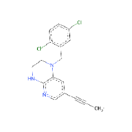 [CH2]C#Cc1cnc2c(c1)N(Cc1cc(Cl)ccc1Cl)CCN2